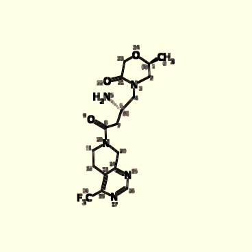 C[C@H]1CN(C[C@@H](N)CC(=O)N2CCc3c(ncnc3C(F)(F)F)C2)C(=O)CO1